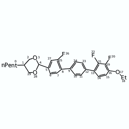 CCCCCC1COC(c2ccc(-c3ccc(-c4ccc(OCC)c(F)c4F)cc3)c(F)c2)OC1